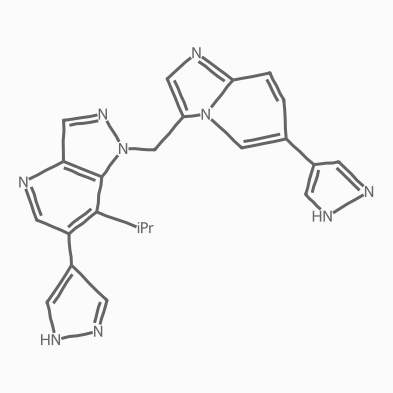 CC(C)c1c(-c2cn[nH]c2)cnc2cnn(Cc3cnc4ccc(-c5cn[nH]c5)cn34)c12